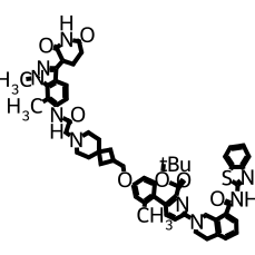 Cc1cc(OCC2CC3(CCN(CC(=O)Nc4ccc5c(C6CCC(=O)NC6=O)nn(C)c5c4C)CC3)C2)ccc1-c1ccc(N2CCc3cccc(C(=O)Nc4nc5ccccc5s4)c3C2)nc1C(=O)OC(C)(C)C